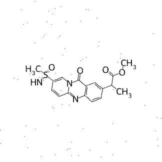 COC(=O)C(C)c1ccc2nc3ccc(S(C)(=N)=O)cn3c(=O)c2c1